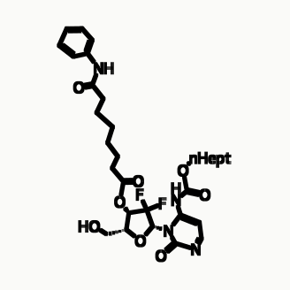 CCCCCCCOC(=O)Nc1ccnc(=O)n1[C@@H]1O[C@H](CO)[C@@H](OC(=O)CCCCCCC(=O)Nc2ccccc2)C1(F)F